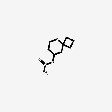 CS(=O)OC1CCOC2(CCC2)C1